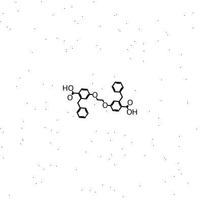 O=C(O)c1ccc(OCCOc2ccc(C(=O)O)c(Cc3ccccc3)c2)cc1Cc1ccccc1